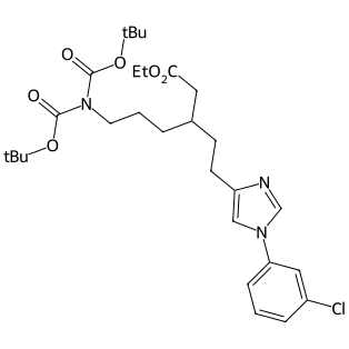 CCOC(=O)CC(CCCN(C(=O)OC(C)(C)C)C(=O)OC(C)(C)C)CCc1cn(-c2cccc(Cl)c2)cn1